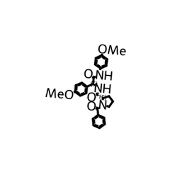 COc1ccc(NC(=O)[C@@H](NC(=O)[C@@H]2CCCN2C(=O)c2ccccc2)c2ccc(OC)cc2)cc1